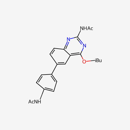 CCC(C)Oc1nc(NC(C)=O)nc2ccc(-c3ccc(NC(C)=O)cc3)cc12